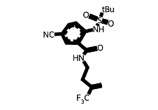 C=C(CCNC(=O)c1cc(C#N)ccc1NS(=O)(=O)C(C)(C)C)C(F)(F)F